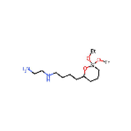 CCO[Si]1(OCC)CCCC(CCCCNCCN)O1